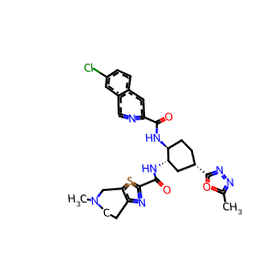 Cc1nnc([C@H]2CC[C@H](NC(=O)c3cc4ccc(Cl)cc4cn3)[C@@H](NC(=O)c3nc4c(s3)CN(C)CC4)C2)o1